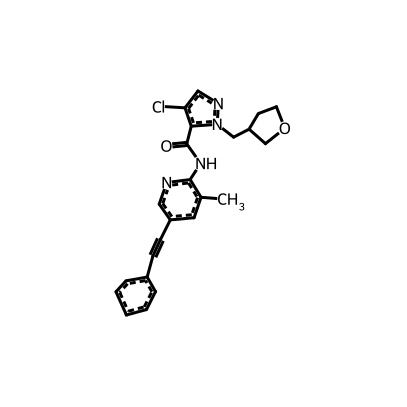 Cc1cc(C#Cc2ccccc2)cnc1NC(=O)c1c(Cl)cnn1CC1CCOC1